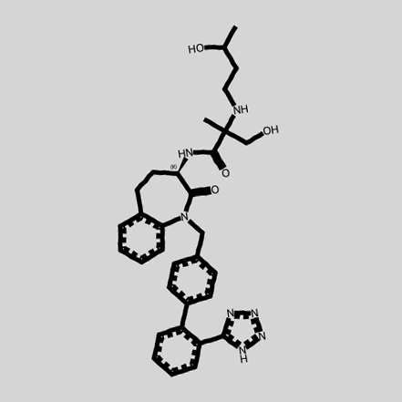 CC(O)CCNC(C)(CO)C(=O)N[C@@H]1CCc2ccccc2N(Cc2ccc(-c3ccccc3-c3nnn[nH]3)cc2)C1=O